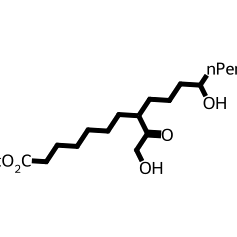 CCCCCC(O)CCCC(CCCCCCC(=O)OCC)C(=O)CO